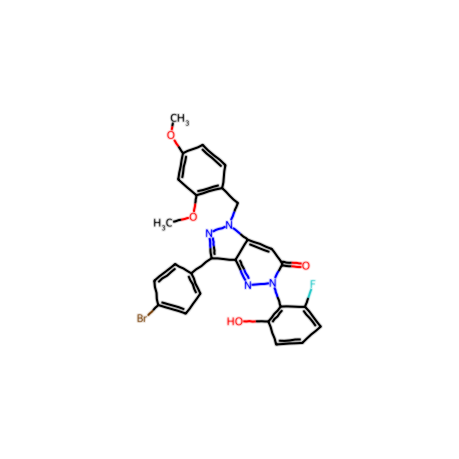 COc1ccc(Cn2nc(-c3ccc(Br)cc3)c3nn(-c4c(O)cccc4F)c(=O)cc32)c(OC)c1